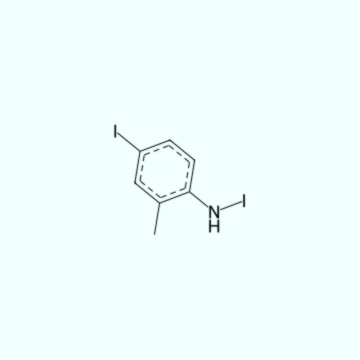 Cc1cc(I)ccc1NI